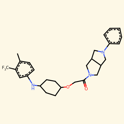 Cc1ccc(NC2CCC(OCC(=O)N3CC4CN(c5ccccc5)CC4C3)CC2)cc1C(F)(F)F